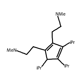 CNCCC1=C(CCNC)C(C(C)C)C(C(C)C)=C1C(C)C